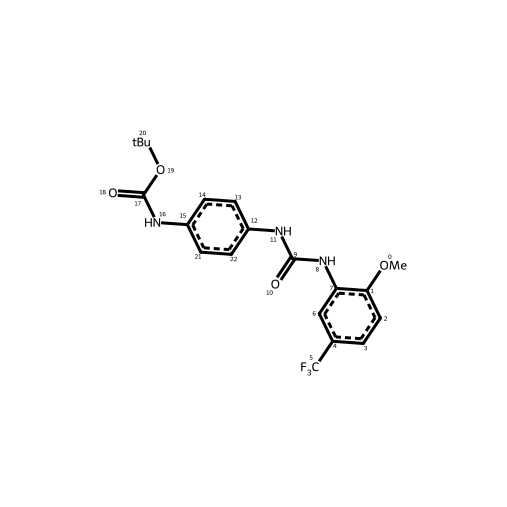 COc1ccc(C(F)(F)F)cc1NC(=O)Nc1ccc(NC(=O)OC(C)(C)C)cc1